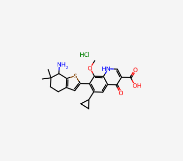 COc1c(-c2cc3c(s2)C(N)C(C)(C)CC3)c(C2CC2)cc2c(=O)c(C(=O)O)c[nH]c12.Cl